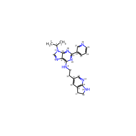 CC(C)n1cnc2c(NCCc3cnc4c(c3)CCN4)nc(-c3cccnc3)nc21